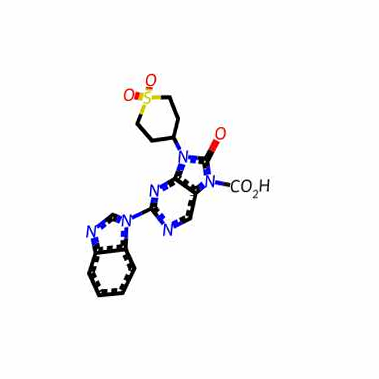 O=C(O)n1c(=O)n(C2CCS(=O)(=O)CC2)c2nc(-n3cnc4ccccc43)ncc21